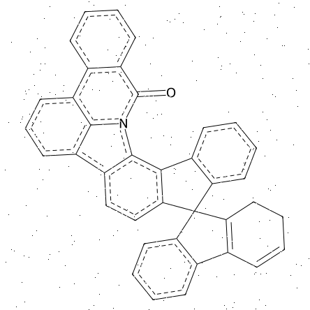 O=c1c2ccccc2c2cccc3c4ccc5c(c4n1c23)-c1ccccc1C51C2=C(C=CCC2)c2ccccc21